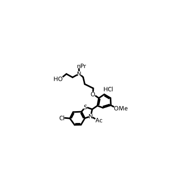 CCCN(CCO)CCCOc1ccc(OC)cc1C1Sc2cc(Cl)ccc2N1C(C)=O.Cl